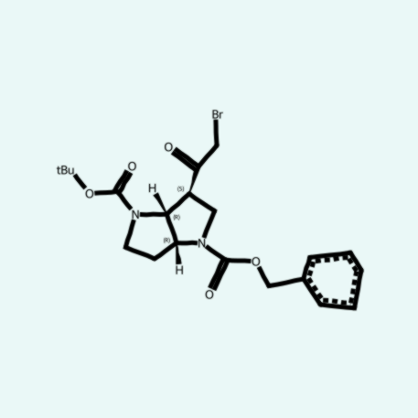 CC(C)(C)OC(=O)N1CC[C@@H]2[C@H]1[C@@H](C(=O)CBr)CN2C(=O)OCc1ccccc1